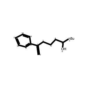 C=C(CCCC(O)CCCC)c1ccccc1